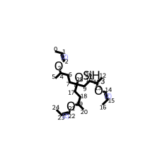 C/C=C\OC(C)CCC(CCC(C)O/C=C\C)(CCC(C)O/C=C\C)O[SiH3]